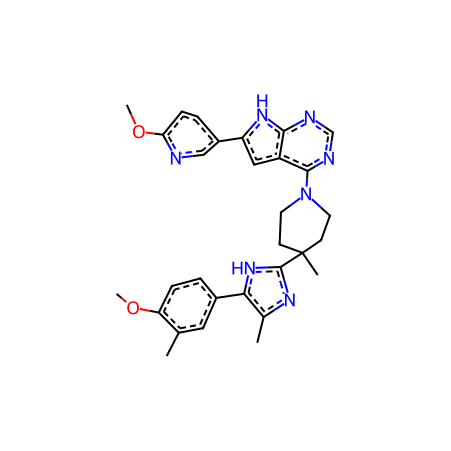 COc1ccc(-c2cc3c(N4CCC(C)(c5nc(C)c(-c6ccc(OC)c(C)c6)[nH]5)CC4)ncnc3[nH]2)cn1